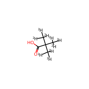 [2H]C([2H])([2H])C(C(=O)O)(C([2H])([2H])[2H])C([2H])([2H])[2H]